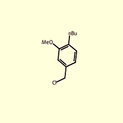 CCCCc1ccc(CCl)cc1OC